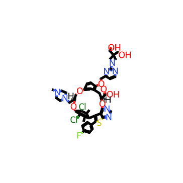 Cc1c(Cl)c2c(Cl)c(C)c1-c1c(-c3ccc(F)cc3)sc3ncnc(c13)O[C@@H](C(=O)O)Cc1cc(ccc1OCc1ccnc(N3CC(CO)(CO)C3)n1)OC[C@@H](CN1CCN(C)CC1)O2